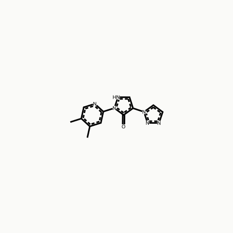 Cc1cnc(-n2[nH]cc(-n3ccnn3)c2=O)cc1C